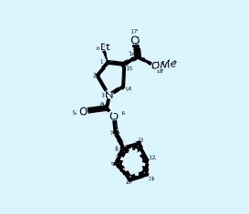 CC[C@@H]1CN(C(=O)OCc2ccccc2)CC1C(=O)OC